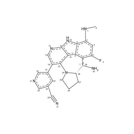 CNc1cc(F)c(F)c2c1[nH]c1ncc(-c3cncc(C#N)c3)c(N3CCC[C@H]3CN)c12